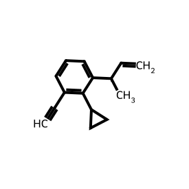 C#Cc1cccc([C](C)C=C)c1C1CC1